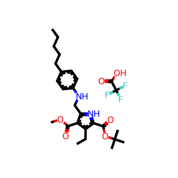 CCCCCc1ccc(NCc2[nH]c(C(=O)OC(C)(C)C)c(CC)c2C(=O)OC)cc1.O=C(O)C(F)(F)F